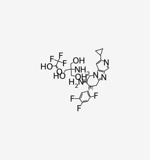 NC(CO)(CO)CO.N[C@H]1Cn2c(nc3cnc(C4CC4)cc32)C[C@@H]1c1cc(F)c(F)cc1F.O=C(O)C(F)(F)F